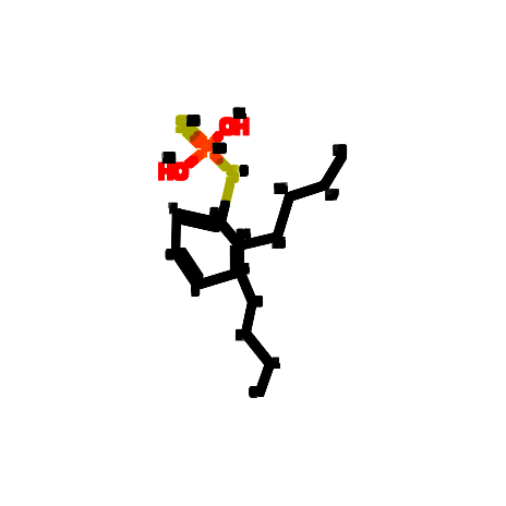 CCCCc1cccc(SP(O)(O)=S)c1CCCC